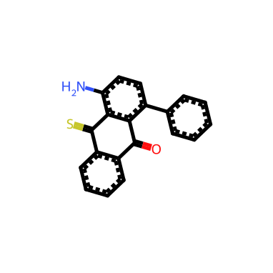 Nc1ccc(-c2ccccc2)c2c1C(=S)c1ccccc1C2=O